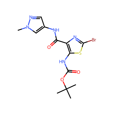 Cn1cc(NC(=O)c2nc(Br)sc2NC(=O)OC(C)(C)C)cn1